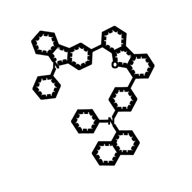 c1ccc(N(c2ccc(-c3cccc4c3oc3c(-c5ccc6c(c5)c5ccccc5n6-c5ccccc5)cccc34)cc2)c2cccc3ccccc23)cc1